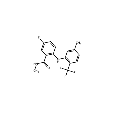 CNC(=O)c1cc(F)ccc1Nc1cc(C)ncc1C(F)(F)F